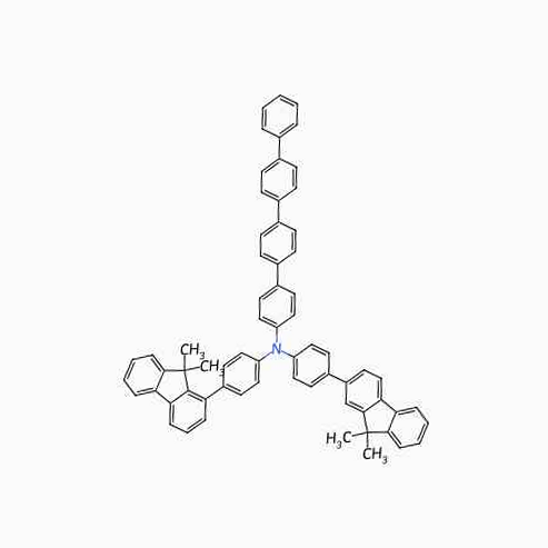 CC1(C)c2ccccc2-c2ccc(-c3ccc(N(c4ccc(-c5ccc(-c6ccc(-c7ccccc7)cc6)cc5)cc4)c4ccc(-c5cccc6c5C(C)(C)c5ccccc5-6)cc4)cc3)cc21